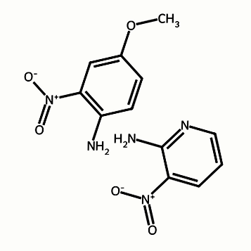 COc1ccc(N)c([N+](=O)[O-])c1.Nc1ncccc1[N+](=O)[O-]